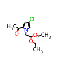 CCOC(Cn1cc(Cl)cc1C(C)=O)OCC